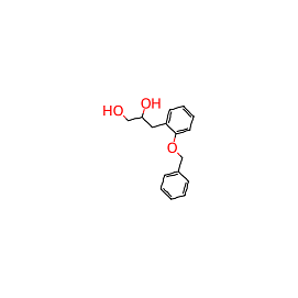 OCC(O)Cc1ccccc1OCc1ccccc1